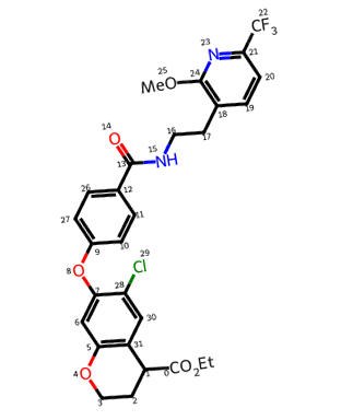 CCOC(=O)C1CCOc2cc(Oc3ccc(C(=O)NCCc4ccc(C(F)(F)F)nc4OC)cc3)c(Cl)cc21